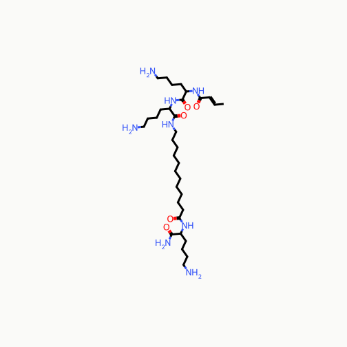 C/C=C/C(=O)NC(CCCCN)C(=O)NC(CCCCN)C(=O)NCCCCCCCCCCCC(=O)NC(CCCCN)C(N)=O